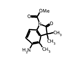 COC(=O)N1C(=O)C(C)(C)c2c1ccc(N)c2C